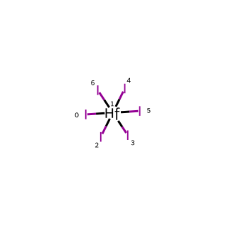 [I][Hf]([I])([I])([I])([I])[I]